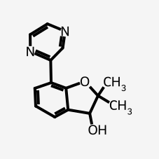 CC1(C)Oc2c(-c3cnccn3)cccc2C1O